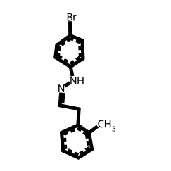 Cc1ccccc1C/C=N\Nc1ccc(Br)cc1